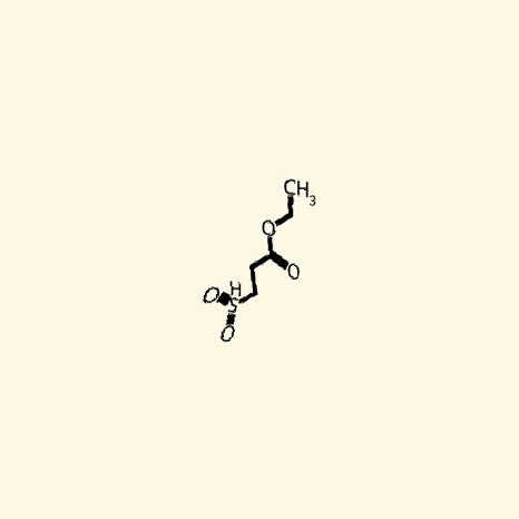 CCOC(=O)CC[SH](=O)=O